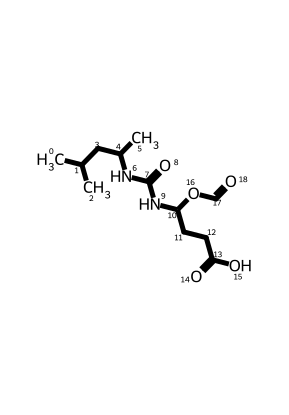 CC(C)CC(C)NC(=O)NC(CCC(=O)O)OC=O